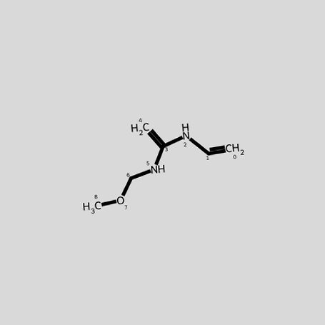 C=CNC(=C)NCOC